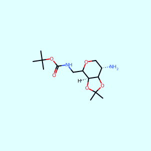 CC(C)(C)OC(=O)NCC1OC[C@H](N)C2OC(C)(C)O[C@@H]12